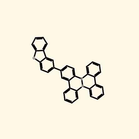 c1ccc2c(c1)B1c3ccc(-c4ccc5oc6ccccc6c5c4)cc3-c3ccccc3N1c1ccccc1-2